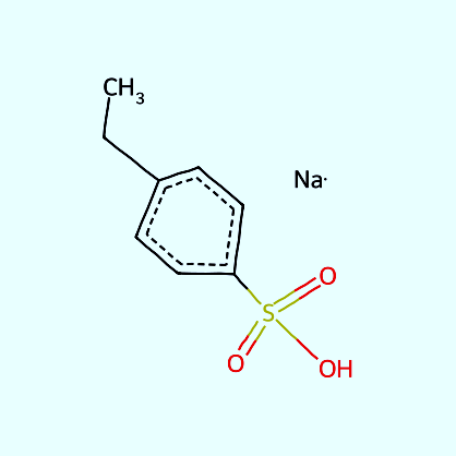 CCc1ccc(S(=O)(=O)O)cc1.[Na]